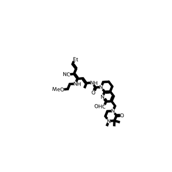 CC/C=C/C(C#N)=C(\C=C(/C)NC(=O)N1CCCc2cc(CN3CCN(C)C(C)(C)C3=O)c(C=O)nc21)NCCOC